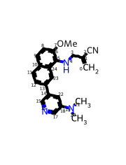 C=C(C#N)CNc1c(OC)ccc2ccc(-c3cncc(N(C)C)c3)cc12